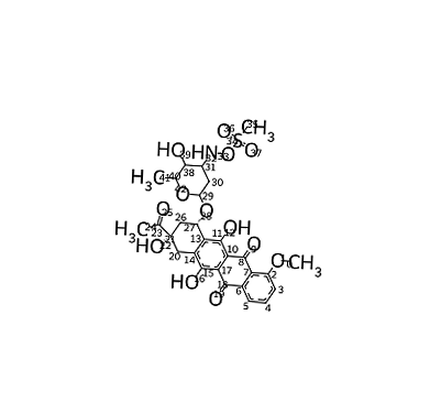 COc1cccc2c1C(=O)c1c(O)c3c(c(O)c1C2=O)C[C@@](O)(C(C)=O)C[C@@H]3OC1CC(NOS(C)(=O)=O)C(O)C(C)O1